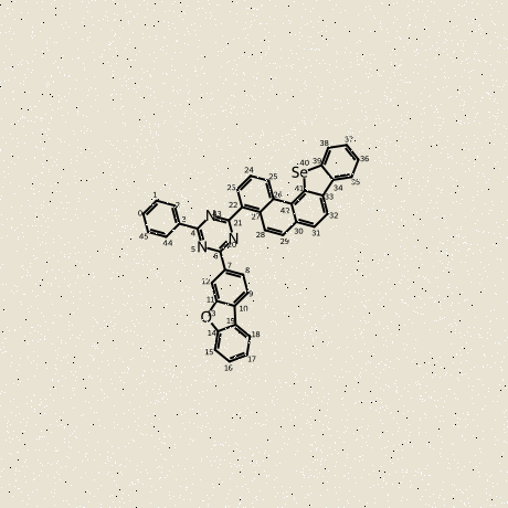 c1ccc(-c2nc(-c3ccc4c(c3)oc3ccccc34)nc(-c3cccc4c3ccc3ccc5c6ccccc6[se]c5c34)n2)cc1